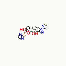 Cc1ccnc(SCC(=O)[C@@]2(O)CCC3C4CCC5=Cc6c(cnn6-c6ccccn6)CC5(C)C4[C@@H](O)CC32C)n1